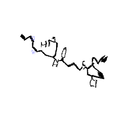 C=C/C=C\C=C/CCC(CNC)NC(=O)CCCSC1=C(N=C)C=CC(Cl)C1